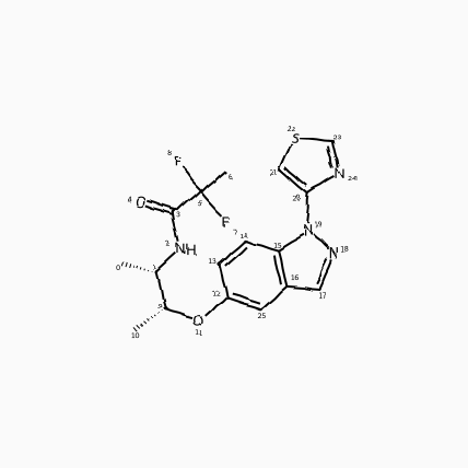 C[C@H](NC(=O)C(C)(F)F)[C@@H](C)Oc1ccc2c(cnn2-c2cscn2)c1